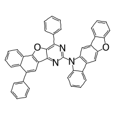 c1ccc(-c2cc3c4nc(-n5c6ccccc6c6cc7oc8ccccc8c7cc65)nc(-c5ccccc5)c4oc3c3ccccc23)cc1